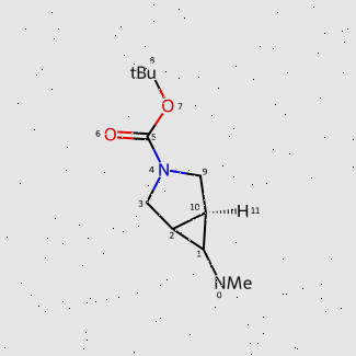 CNC1C2CN(C(=O)OC(C)(C)C)C[C@H]21